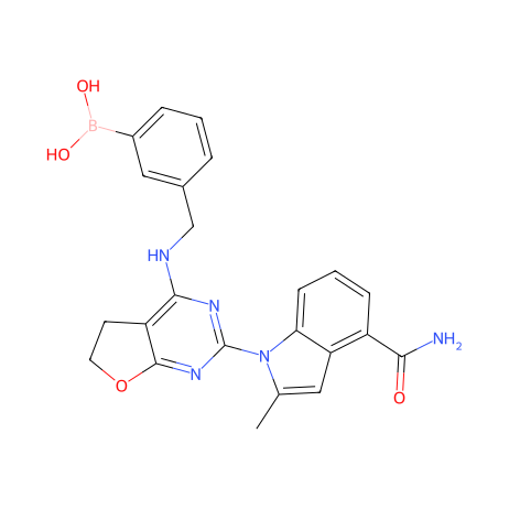 Cc1cc2c(C(N)=O)cccc2n1-c1nc(NCc2cccc(B(O)O)c2)c2c(n1)OCC2